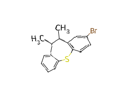 CC1c2ccccc2Sc2ccc(Br)cc2C1C